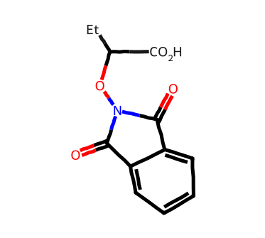 CCC(ON1C(=O)c2ccccc2C1=O)C(=O)O